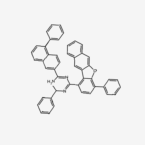 CC(/N=C(\N=C(/N)c1ccc2c(-c3ccccc3)cccc2c1)c1ccc(-c2ccccc2)c2oc3cc4ccccc4cc3c12)c1ccccc1